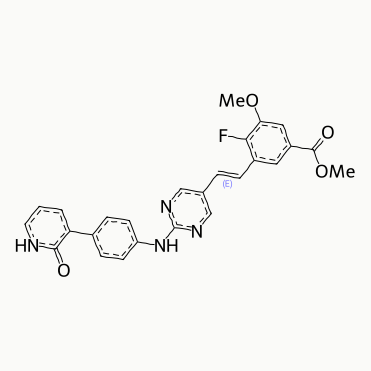 COC(=O)c1cc(/C=C/c2cnc(Nc3ccc(-c4ccc[nH]c4=O)cc3)nc2)c(F)c(OC)c1